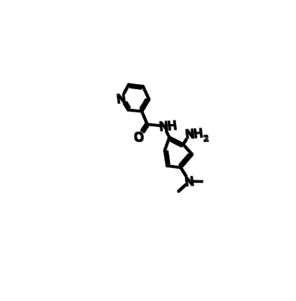 CN(C)c1ccc(NC(=O)c2cccnc2)c(N)c1